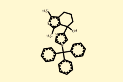 Cc1sc(C)c2c1CCCC2(O)c1cn(C(c2ccccc2)(c2ccccc2)c2ccccc2)cn1